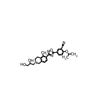 Cc1c(-c2noc(-c3ccc(OC(C)C)c(C#N)c3)n2)ccc2c1CCN(CC(O)CO)C2